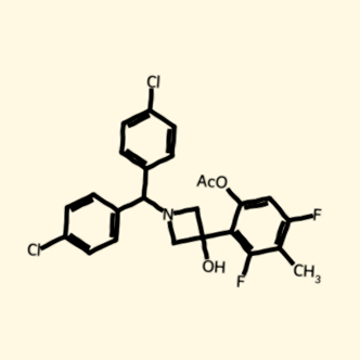 CC(=O)Oc1cc(F)c(C)c(F)c1C1(O)CN(C(c2ccc(Cl)cc2)c2ccc(Cl)cc2)C1